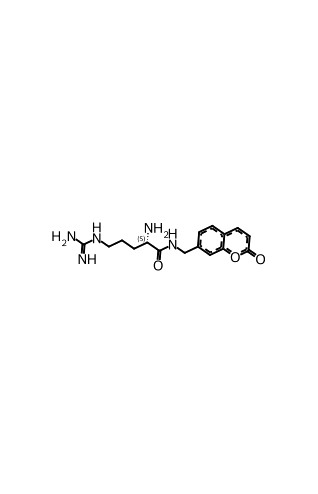 N=C(N)NCCC[C@H](N)C(=O)NCc1ccc2ccc(=O)oc2c1